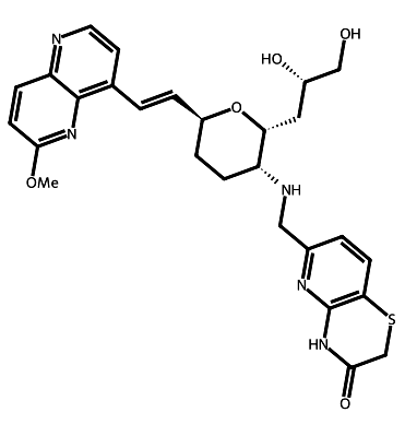 COc1ccc2nccc(C=C[C@@H]3CC[C@@H](NCc4ccc5c(n4)NC(=O)CS5)[C@@H](C[C@H](O)CO)O3)c2n1